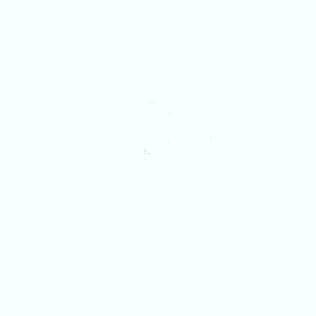 CC=CC[C@@H](NC(=O)OC(C)(C)C)C(=O)O